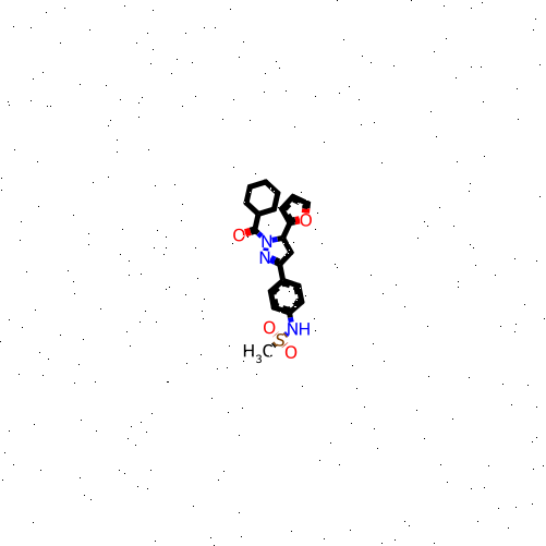 CS(=O)(=O)Nc1ccc(C2=NN(C(=O)C3CCCCC3)C(c3ccco3)C2)cc1